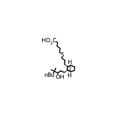 CCCCC(C)(C)C(O)CC[C@H]1[C@@H](CCCSCCCCC(=O)O)[C@H]2CC[C@@H]1O2